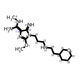 CN/C(N)=C1/N=C(OC)N(CCCNCCC2CCCOC2)C1=N